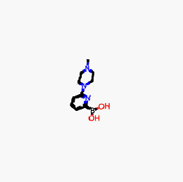 CN1CCN(c2cccc(B(O)O)n2)CC1